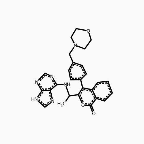 CC(Nc1ncnc2[nH]cnc12)c1oc(=O)c2ccccc2c1-c1ccc(CN2CCOCC2)cc1